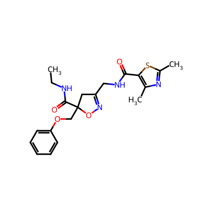 CCNC(=O)C1(COc2ccccc2)CC(CNC(=O)c2sc(C)nc2C)=NO1